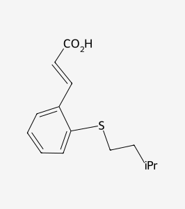 CC(C)CCSc1ccccc1C=CC(=O)O